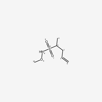 C=CCC(C)S(=O)(=O)NOC